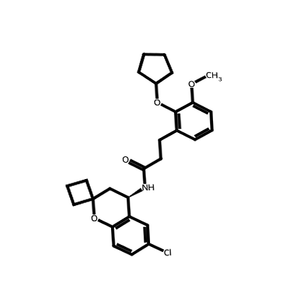 COc1cccc(CCC(=O)N[C@@H]2CC3(CCC3)Oc3ccc(Cl)cc32)c1OC1CCCC1